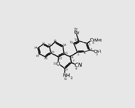 COc1c(O)cc(C2C(C#N)=C(N)Oc3c2ccc2ccccc32)cc1Br